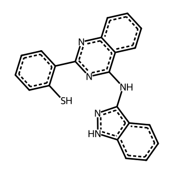 Sc1ccccc1-c1nc(Nc2n[nH]c3ccccc23)c2ccccc2n1